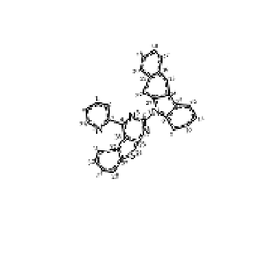 c1ccc(-c2nc(-n3c4ccccc4c4cc5ccccc5cc43)nc3sc4ccccc4c23)nc1